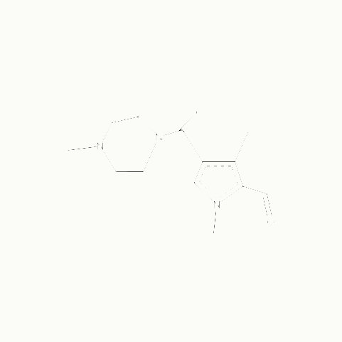 Cc1c(C(=O)N2CCN(C)CC2)cn(C)c1C=O